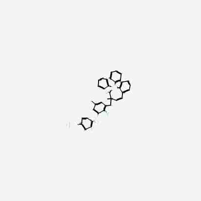 Cc1cc(CC2(C)C=Cc3ccccc3[Si](c3ccccc3)(c3ccccc3)[C@H]2C)c(Cl)c(Sc2ccc(C(C)(C)C)cc2)c1